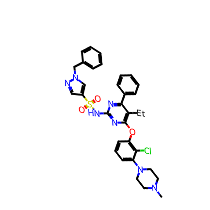 CCc1c(Oc2cccc(N3CCN(C)CC3)c2Cl)nc(NS(=O)(=O)c2cnn(Cc3ccccc3)c2)nc1-c1ccccc1